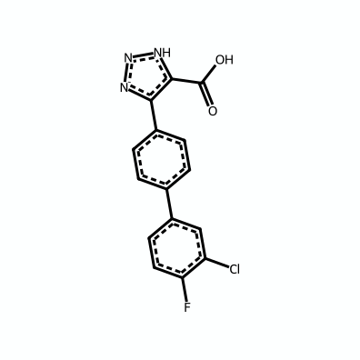 O=C(O)c1[nH]nnc1-c1ccc(-c2ccc(F)c(Cl)c2)cc1